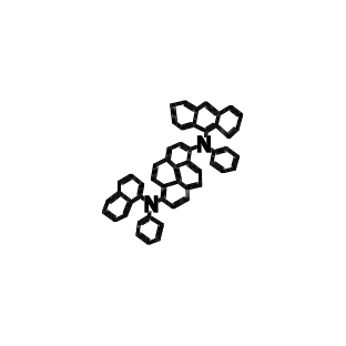 c1ccc(N(c2cccc3ccccc23)c2ccc3ccc4c(N(c5ccccc5)c5c6ccccc6cc6ccccc56)ccc5ccc2c3c54)cc1